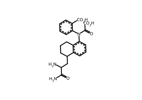 NC(=O)C(N)CC1CCCc2c1cccc2N(C(=O)C(=O)O)c1ccccc1C(=O)O